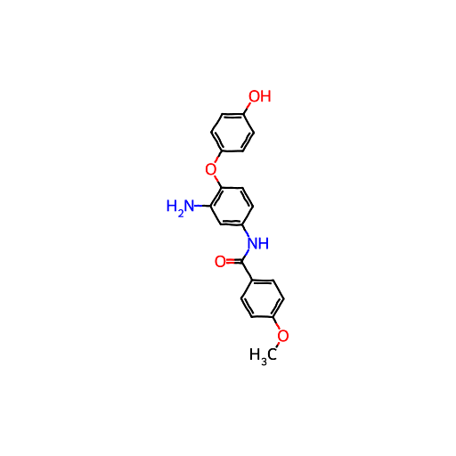 COc1ccc(C(=O)Nc2ccc(Oc3ccc(O)cc3)c(N)c2)cc1